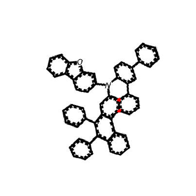 c1ccc(-c2ccc(N(c3ccc4c(c3)oc3ccccc34)c3ccc4c(c3)c(-c3ccccc3)c(-c3ccccc3)c3ccccc34)c(-c3ccccc3)c2)cc1